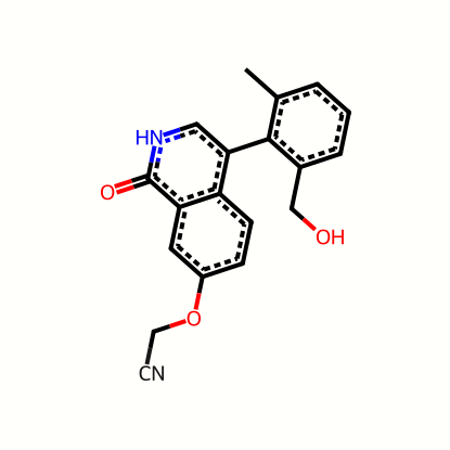 Cc1cccc(CO)c1-c1c[nH]c(=O)c2cc(OCC#N)ccc12